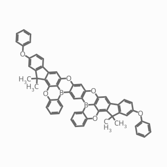 CC1(C)c2cc(Oc3ccccc3)ccc2-c2cc3c4c(c21)Oc1ccccc1B4c1cc2c(cc1O3)Oc1cc3c(c4c1B2c1ccccc1O4)C(C)(C)c1cc(Oc2ccccc2)ccc1-3